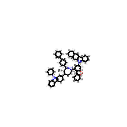 CC[C@H]1C(C2=Cc3c(c4ccccc4n3-c3ccccc3)CC2)CCC(c2cc(-n3c4ccccc4c4cc5ccccc5cc43)cc3oc4ccccc4c23)NC1c1ccc(-c2ccccc2)cc1